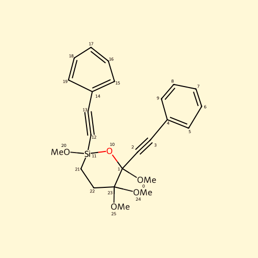 COC1(C#Cc2ccccc2)O[Si](C#Cc2ccccc2)(OC)CCC1(OC)OC